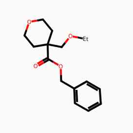 CCOCC1(C(=O)OCc2ccccc2)CCOCC1